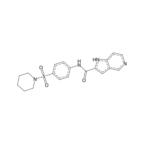 O=C(Nc1ccc(S(=O)(=O)N2CCCCC2)cc1)c1cc2cnccc2[nH]1